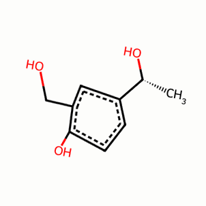 C[C@@H](O)c1ccc(O)c(CO)c1